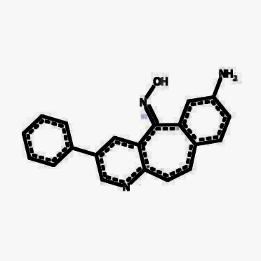 Nc1ccc2ccc3ncc(-c4ccccc4)cc3/c(=N/O)c2c1